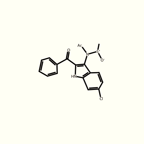 CC(=O)N(c1c(C(=O)c2ccccc2)[nH]c2cc(Cl)ccc12)[S+](C)[O-]